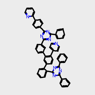 c1ccc(-c2nc(-c3ccc(-c4ccccn4)cc3)nc(-c3cccc(-c4cc(-c5ccccc5-c5nc(-c6ccccc6)nc(-c6ccccc6)n5)ccc4-c4ccncc4)c3)n2)cc1